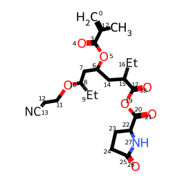 C=C(C)C(=O)OC(CC(CC)OCCC#N)CC(CC)C(=O)OC(=O)C1CCC(=O)N1